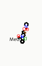 COC(=O)C(c1ccccc1Cl)N1CCc2sc(OC(=O)N3CCCCC3)cc2C1